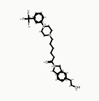 O=C(CCCCCN1CCN(c2cccc(C(F)(F)F)c2)CC1)N1Cc2ccc(CCO)cc2C1